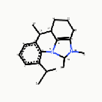 CC(C)c1cccc2c1N1C3=C(CCCC3C2C)N(C)C1C